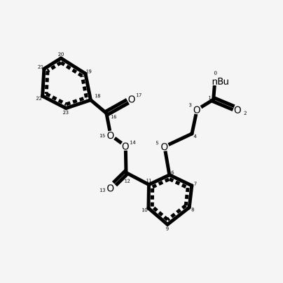 CCCCC(=O)OCOc1ccccc1C(=O)OOC(=O)c1ccccc1